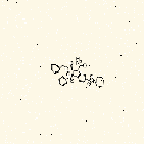 NC(=O)c1c(C(=O)OCc2ccccc2)n(S(=O)(=O)c2ccccc2)c2ccc(S(=O)(=O)N3CCCCCC3)cc12